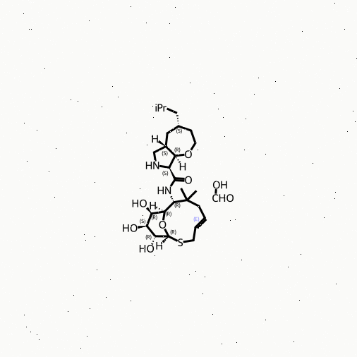 CC(C)C[C@@H]1CCO[C@@H]2[C@H](CN[C@@H]2C(=O)N[C@H]2[C@H]3O[C@H](SC/C=C/CC2(C)C)[C@H](O)[C@@H](O)[C@H]3O)C1.O=CO